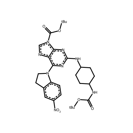 CC(C)(C)OC(=O)NC1CCC(Nc2nc(N3CCc4cc([N+](=O)[O-])ccc43)c3ncn(C(=O)OC(C)(C)C)c3n2)CC1